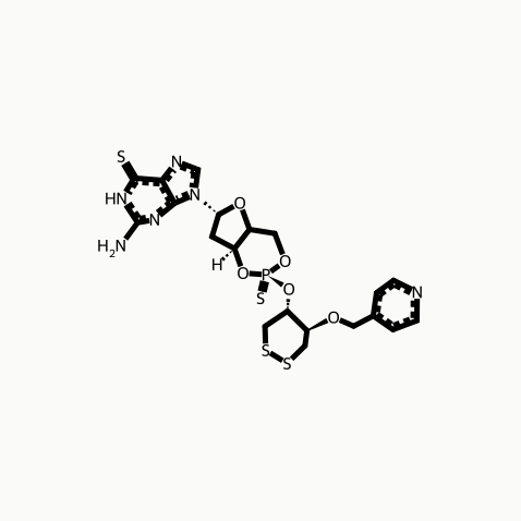 Nc1nc2c(ncn2[C@H]2C[C@@H]3O[P@](=S)(O[C@H]4CSSC[C@@H]4OCc4ccncc4)OCC3O2)c(=S)[nH]1